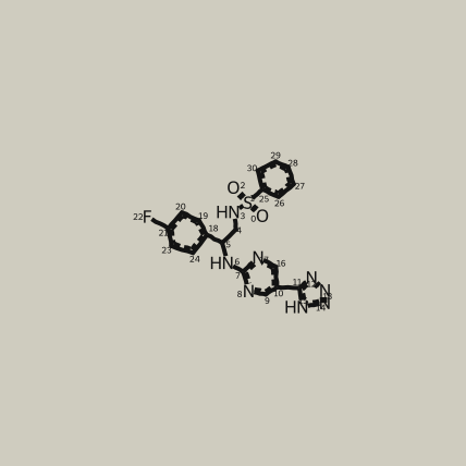 O=S(=O)(NCC(Nc1ncc(-c2nnn[nH]2)cn1)c1ccc(F)cc1)c1ccccc1